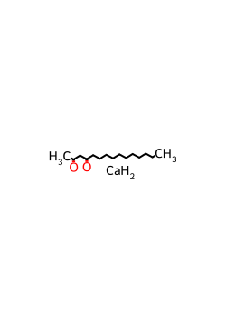 CCCCCCCCCCCC(=O)CC(C)=O.[CaH2]